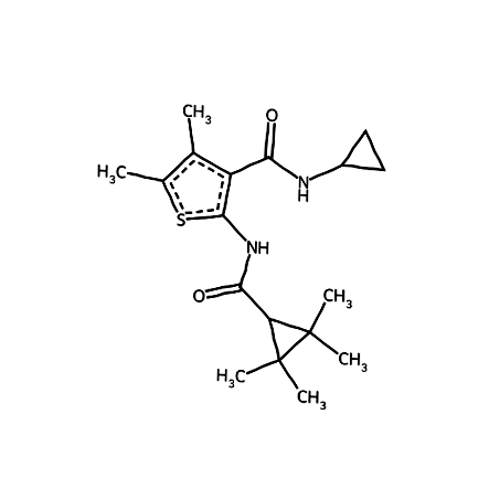 Cc1sc(NC(=O)C2C(C)(C)C2(C)C)c(C(=O)NC2CC2)c1C